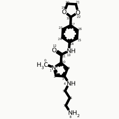 Cn1cc(NCCCN)cc1C(=O)Nc1ccc(C2OCCO2)cc1